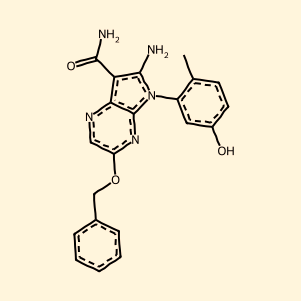 Cc1ccc(O)cc1-n1c(N)c(C(N)=O)c2ncc(OCc3ccccc3)nc21